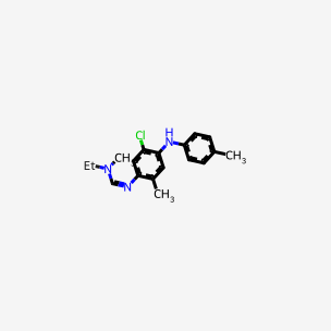 CCN(C)/C=N\c1cc(Cl)c(Nc2ccc(C)cc2)cc1C